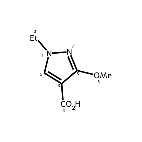 CCn1cc(C(=O)O)c(OC)n1